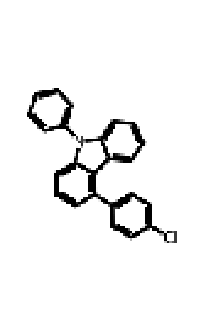 Clc1ccc(-c2cccc3c2c2ccccc2n3-c2ccccc2)cc1